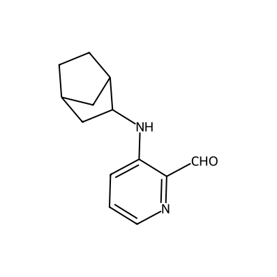 O=Cc1ncccc1NC1CC2CCC1C2